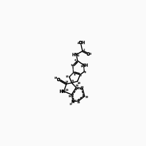 O=C(O)NC1=CC2=C(CN1)CC1(C2)C(=O)Nc2ncccc21